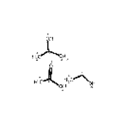 CC(=O)O.CC(C)O.CCO